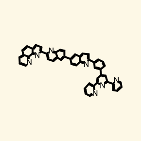 c1ccc(-c2cc(-c3cccc(-c4ccc5cc(-c6ccc7nc(-c8ccc9ccc%10cccnc%10c9n8)ccc7c6)ccc5n4)c3)cc(-c3ccccn3)n2)nc1